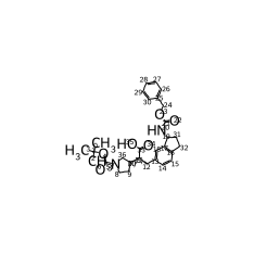 CC(C)(C)OC(=O)N1CC[C@H]([C@H](Cc2ccc3c(c2)C(NC(=O)OCc2ccccc2)CC3)C(=O)O)C1